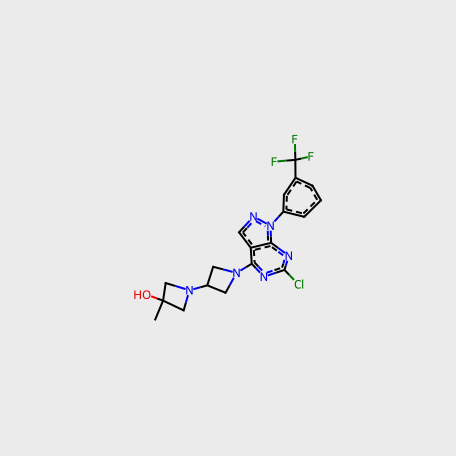 CC1(O)CN(C2CN(c3nc(Cl)nc4c3cnn4-c3cccc(C(F)(F)F)c3)C2)C1